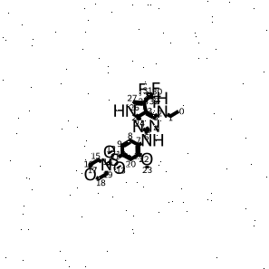 CCNc1nc(Nc2ccc(S(=O)(=O)N3CCOCC3)cc2OC)nc2[nH]cc(C(F)(F)F)c12